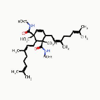 CCCCCCCCNC(=O)C1(C(=O)O)C=CC(CC=C(C)CCC=C(C)C)C(C(=O)O)(C(=O)NCCCCCCCC)C1CC=C(C)CCC=C(C)C